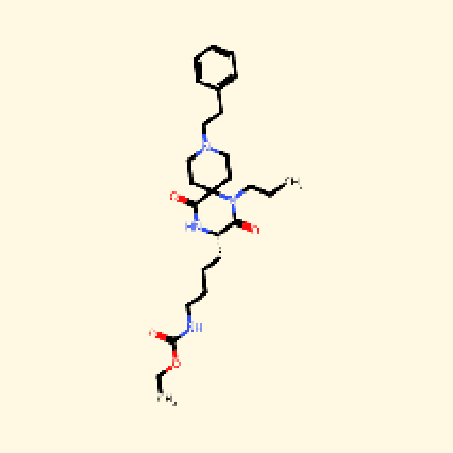 CCCN1C(=O)[C@H](CCCCNC(=O)OCC)NC(=O)C12CCN(CCc1ccccc1)CC2